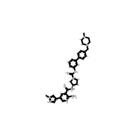 CN1CCN(Cc2ccc(-c3cccc(OC(=O)N4CC[C@@H](NC(=O)c5cc(-c6cnn(C)c6)cnc5N)C4)c3)cc2)CC1